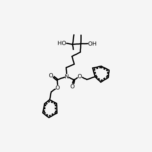 CC(C)(O)C(C)(O)CCCCN(C(=O)OCc1ccccc1)C(=O)OCc1ccccc1